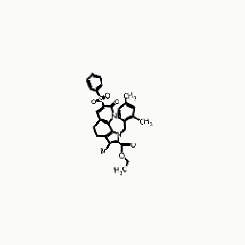 CCOC(=O)c1c(Br)c2c(n1Cc1ccc(C)cc1C)-c1[nH]c(=O)c(S(=O)(=O)c3ccccc3)cc1CC2